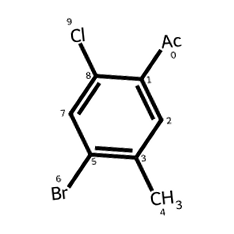 CC(=O)c1cc(C)c(Br)cc1Cl